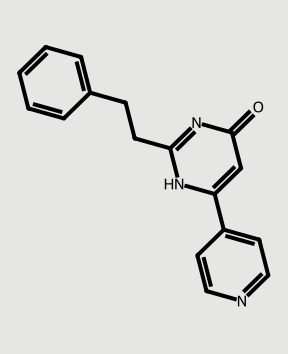 O=c1cc(-c2ccncc2)[nH]c(CCc2ccccc2)n1